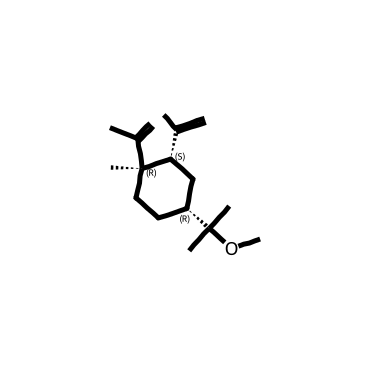 C=C(C)[C@@H]1C[C@H](C(C)(C)OC)CC[C@@]1(C)C(=C)C